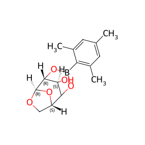 Cc1cc(C)c(B2OC3[C@@H]4CO[C@H](O4)[C@H](O2)[C@H]3O)c(C)c1